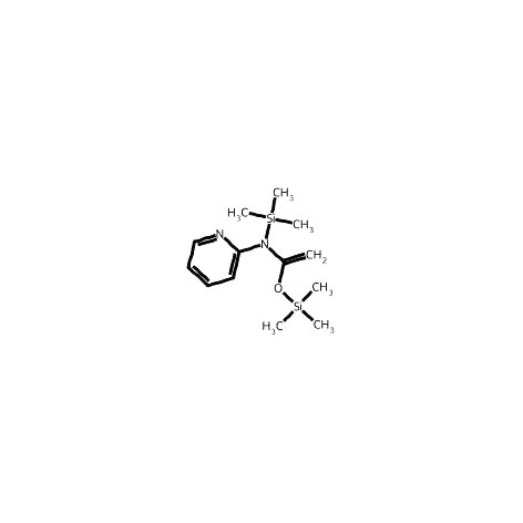 C=C(O[Si](C)(C)C)N(c1ccccn1)[Si](C)(C)C